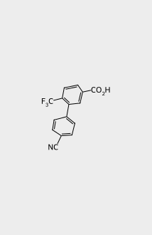 N#Cc1ccc(-c2cc(C(=O)O)ccc2C(F)(F)F)cc1